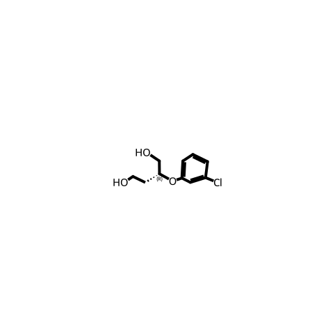 OCC[C@H](CO)Oc1cccc(Cl)c1